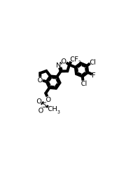 CS(=O)(=O)OCc1ccc(C2=NOC(c3cc(Cl)c(F)c(Cl)c3)(C(F)(F)F)C2)c2c1OCC2